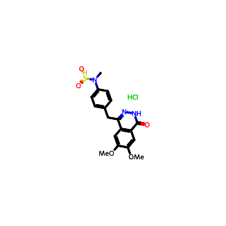 COc1cc2c(Cc3ccc(N(C)[SH](=O)=O)cc3)n[nH]c(=O)c2cc1OC.Cl